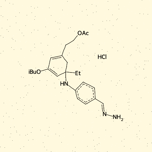 CCC1(Nc2ccc(C=NN)cc2)C=C(OCC(C)C)C=C(CCOC(C)=O)C1.Cl